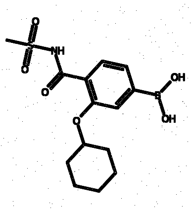 CS(=O)(=O)NC(=O)c1ccc(B(O)O)cc1OC1CCCCC1